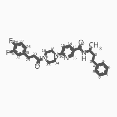 CC(CCc1ccccc1)NC(=O)c1ccc(N2CCN(C(=O)CCc3ccc(F)c(F)c3)CC2)nc1